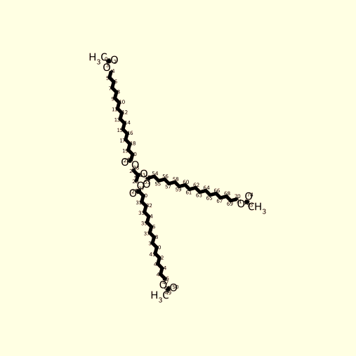 CC(=O)OCCCCCCCCCCCCCCCCCC(=O)OCC(COC(=O)CCCCCCCCCCCCCCCCCOC(C)=O)OC(=O)CCCCCCCCCCCCCCCCCOC(C)=O